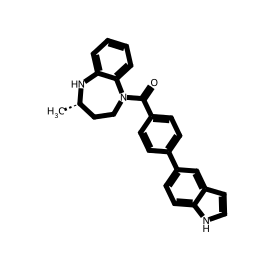 C[C@H]1CCN(C(=O)c2ccc(-c3ccc4[nH]ccc4c3)cc2)c2ccccc2N1